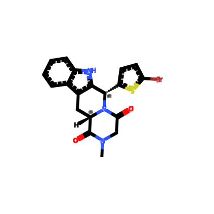 CN1CC(=O)N2[C@@H](c3ccc(Br)s3)c3[nH]c4ccccc4c3C[C@H]2C1=O